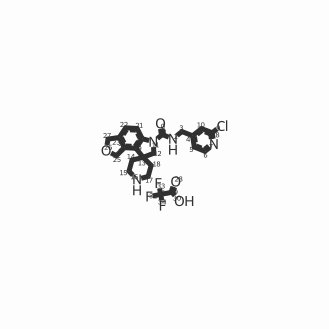 O=C(NCc1ccnc(Cl)c1)N1CC2(CCNCC2)c2c1ccc1c2COC1.O=C(O)C(F)(F)F